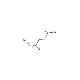 C/C(=C/C#N)CCC(C)C(C)C